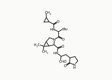 CC1CC1C(=O)NC(C(=O)N1CC2C(C1C(=O)NC(C=O)CC1CCNC1=O)C2(C)C)C(C)(C)C